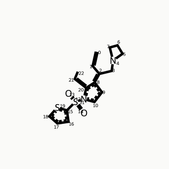 C=C/C(CN1CCC1)=c1/ccn(S(=O)(=O)c2cccs2)/c1=C/C